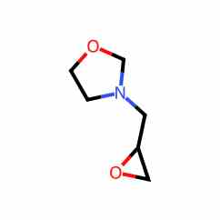 C1CN(CC2CO2)CO1